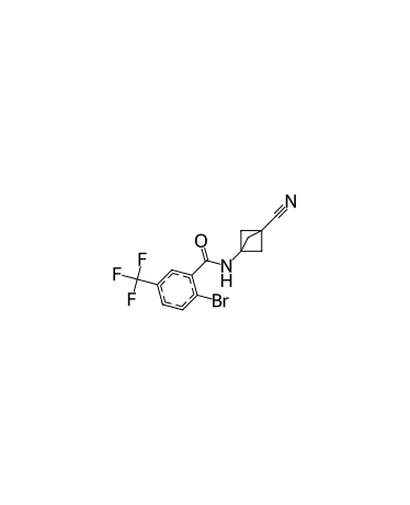 N#CC12CC(NC(=O)c3cc(C(F)(F)F)ccc3Br)(C1)C2